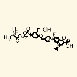 C[C@H](N)C(=O)OC[C@H]1CN(c2ccc(OCC3CCN(c4cc5c(cc4F)c(=O)c(C(=O)O)cn5C4CC4)CC3)c(F)c2)C(=O)O1.Cl